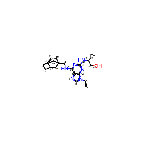 C=Cn1cnc2c(NCC34CC=C5C(CC5C3)C4)nc(NC(CC)CO)nc21